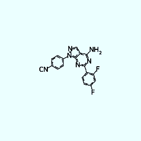 [C-]#[N+]c1ccc(-n2ncc3c(N)nc(-c4ccc(F)cc4F)nc32)cc1